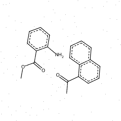 CC(=O)c1cccc2ccccc12.COC(=O)c1ccccc1N